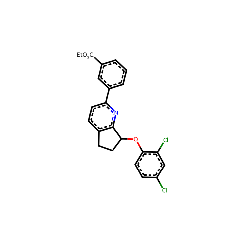 CCOC(=O)c1cccc(-c2ccc3c(n2)C(Oc2ccc(Cl)cc2Cl)CC3)c1